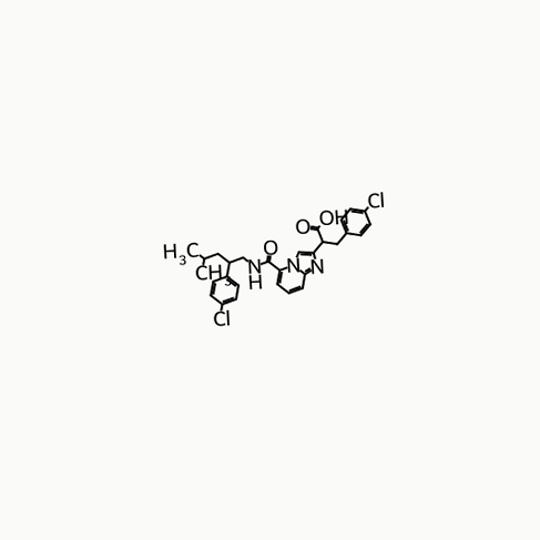 CC(C)CC(CNC(=O)c1cccc2nc(C(Cc3ccc(Cl)cc3)C(=O)O)cn12)c1ccc(Cl)cc1